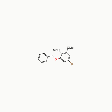 COc1cc(Br)cc(OCc2ccccc2)c1OC